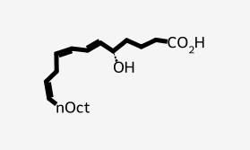 CCCCCCCC/C=C\C/C=C\C=C\[C@@H](O)CCCC(=O)O